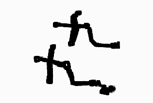 O=S(=O)([O-])OCO.O=S(=O)([O-])OCO.[Zn+2]